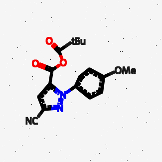 COc1ccc(-n2nc(C#N)cc2C(=O)OC(=O)C(C)(C)C)cc1